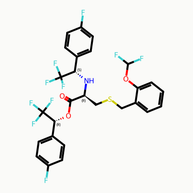 O=C(O[C@H](c1ccc(F)cc1)C(F)(F)F)[C@H](CSCc1ccccc1OC(F)F)N[C@@H](c1ccc(F)cc1)C(F)(F)F